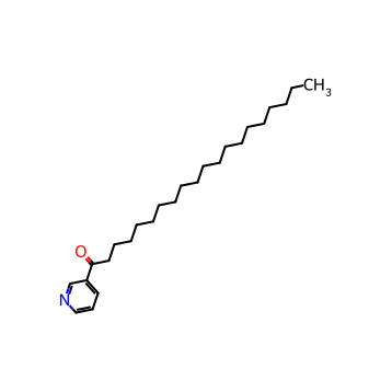 CCCCCCCCCCCCCCCCCCCC(=O)c1cccnc1